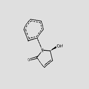 O=C1C=C[C@H](O)N1c1ccccc1